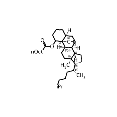 CCCCCCCCC(=O)OC1CCC[C@H]2CC[C@H]3[C@@H]4CC[C@H]([C@H](C)CCCC(C)C)[C@@]4(C)CC[C@@H]3[C@@]12C